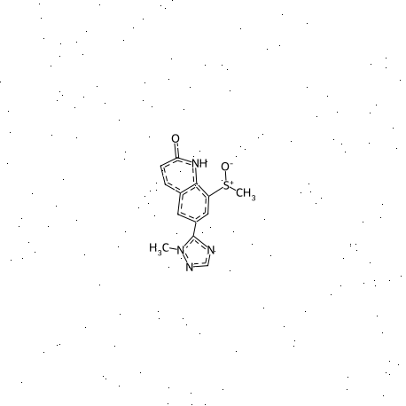 Cn1ncnc1-c1cc([S+](C)[O-])c2[nH]c(=O)ccc2c1